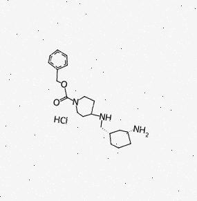 Cl.N[C@@H]1CCC[C@H](CNC2CCN(C(=O)OCc3ccccc3)CC2)C1